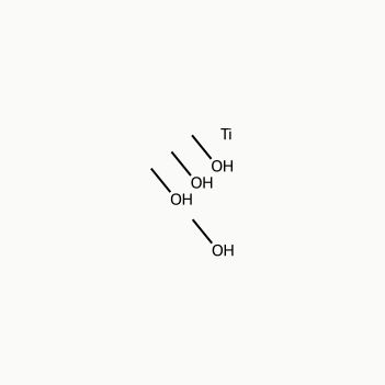 CO.CO.CO.CO.[Ti]